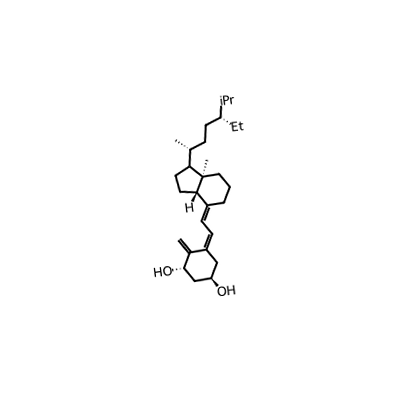 C=C1/C(=C\C=C2/CCC[C@]3(C)C([C@H](C)CC[C@@H](CC)C(C)C)CC[C@@H]23)C[C@@H](O)C[C@@H]1O